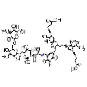 C[C@H](Cn1cc(/C=C/C(=O)NC2[C@@H](O)[C@H](O)C(COC3OC(COC4OC(CO)[C@@H](O)[C@H](O)C4O)[C@@H](O)[C@H](O)C3O)O[C@@H]2O)c(=O)[nH]c1=O)C(CCn1cc(C#CCCC(=O)O)c2c(N)ncnc21)Cn1cc(C#CCCC(=O)O)c(=O)[nH]c1=O